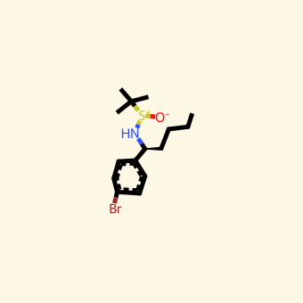 CCCC[C@H](N[S+]([O-])C(C)(C)C)c1ccc(Br)cc1